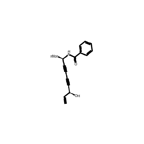 C=C[C@H](O)C#CC#C[C@@H](CCCCCCCCC)NC(=O)c1ccccc1